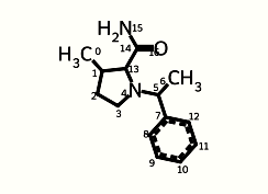 CC1CCN(C(C)c2ccccc2)C1C(N)=O